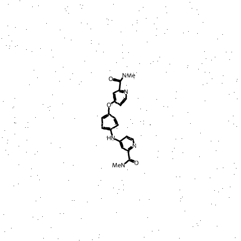 CNC(=O)c1cc(Nc2ccc(Oc3ccnc(C(=O)NC)c3)cc2)ccn1